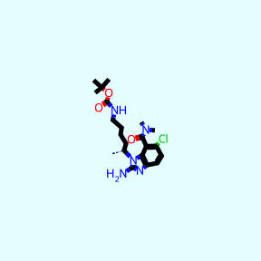 C[C@H](CCCCNC(=O)OC(C)(C)C)n1c(N)nc2ccc(Cl)c(C(=O)N(C)C)c21